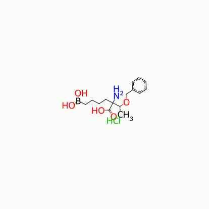 CC(OCc1ccccc1)C(N)(CCCCB(O)O)C(=O)O.Cl